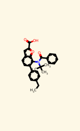 CCc1ccc(-c2ccc3cc(C(=O)O)oc3c2N(C(=O)c2ccccc2)C(C)(C)C)cc1